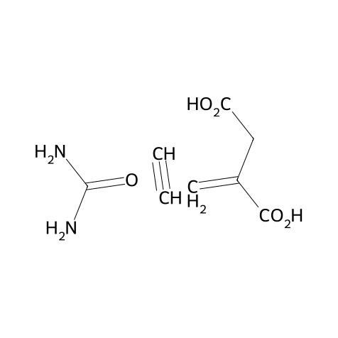 C#C.C=C(CC(=O)O)C(=O)O.NC(N)=O